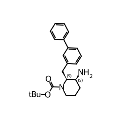 CC(C)(C)OC(=O)N1CCC[C@H](N)[C@@H]1Cc1cccc(-c2ccccc2)c1